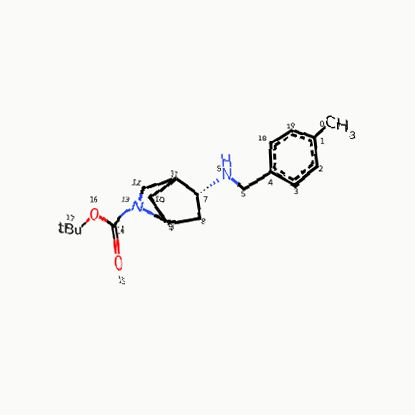 Cc1ccc(CN[C@@H]2CC3CC2CN3C(=O)OC(C)(C)C)cc1